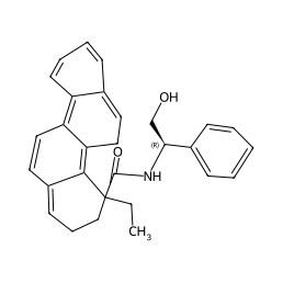 CCC1(C(=O)N[C@@H](CO)c2ccccc2)CCC=c2ccc3c(c21)CC=c1ccccc1=3